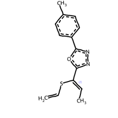 C=CS/C(=C\C)c1nnc(-c2ccc(C)cc2)o1